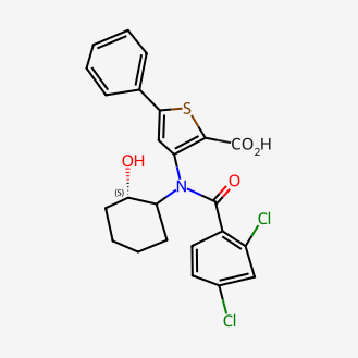 O=C(O)c1sc(-c2ccccc2)cc1N(C(=O)c1ccc(Cl)cc1Cl)C1CCCC[C@@H]1O